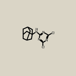 Clc1nc(Cl)nc(NC23CC4CC(CC(C4)C2)C3)n1